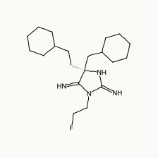 N=C1N[C@](CCC2CCCCC2)(CC2CCCCC2)C(=N)N1CCF